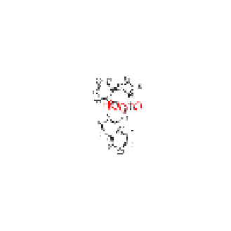 O=C(OCc1cccc2ccccc12)C1CCC1c1ccccc1O